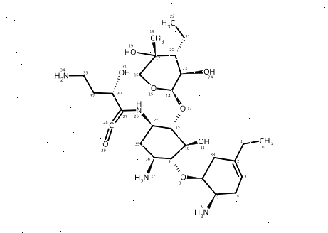 CCC1=CC[C@@H](N)[C@@H](O[C@H]2[C@H](O)[C@@H](O[C@H]3OC[C@](C)(O)[C@H](CC)[C@H]3O)[C@H](NC(=C=O)[C@@H](O)CCN)C[C@@H]2N)C1